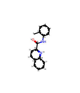 Cc1ccccc1NC(=O)c1ccc2ccccc2n1